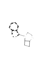 c1ccc2c(N3CCNC4CCC43)nsc2c1